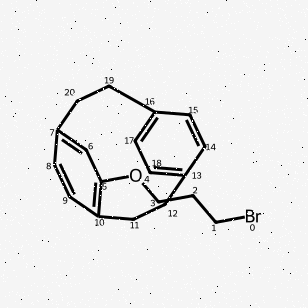 BrCCCOc1cc2ccc1CCc1ccc(cc1)CC2